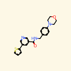 O=C(NCc1ccc(N2CCOCC2)cc1)c1cncc(-c2cccs2)c1